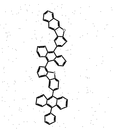 c1ccc(-c2c3ccccc3c(-c3ccc4sc5c(-c6c7ccccc7c(-c7ccc8oc9cc%10ccccc%10cc9c8c7)c7ccccc67)cccc5c4c3)c3ccccc23)cc1